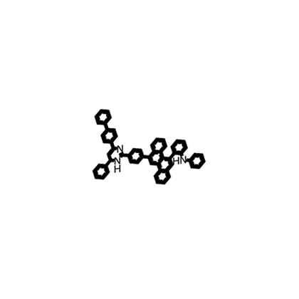 C1=C(c2ccc(-c3ccccc3)cc2)N=C(c2ccc(-c3cc4c5ccccc5cc(-c5ccccc5Nc5ccccc5)c4c4ccccc34)cc2)NC1c1ccccc1